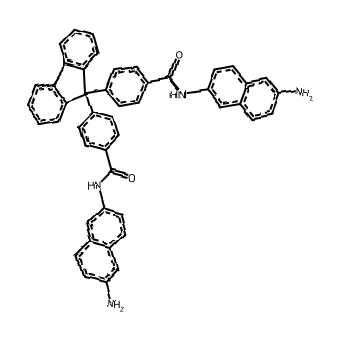 Nc1ccc2cc(NC(=O)c3ccc(C4(c5ccc(C(=O)Nc6ccc7cc(N)ccc7c6)cc5)c5ccccc5-c5ccccc54)cc3)ccc2c1